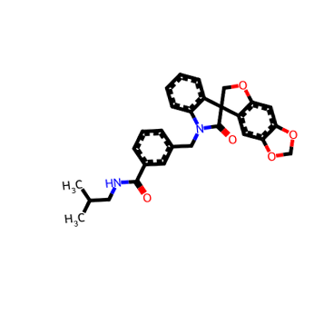 CC(C)CNC(=O)c1cccc(CN2C(=O)C3(COc4cc5c(cc43)OCO5)c3ccccc32)c1